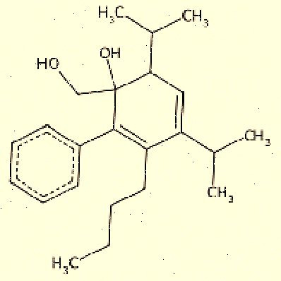 CCCCC1=C(c2ccccc2)C(O)(CO)C(C(C)C)C=C1C(C)C